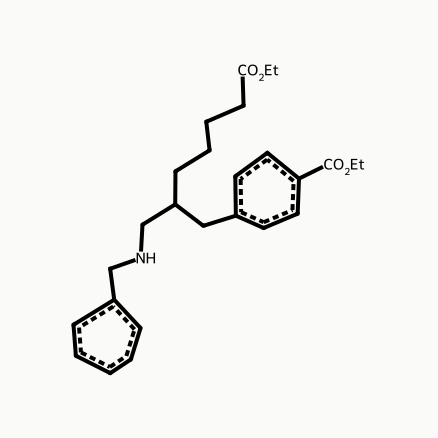 CCOC(=O)CCCCC(CNCc1ccccc1)Cc1ccc(C(=O)OCC)cc1